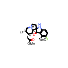 CC[C@@H]1CN2CCC3(Nc4ccc(F)c(OC)c4C3=O)[C@H]2C[C@@H]1CC(=O)OC